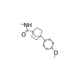 CNC(=O)C12CCC(c3ccc(OC)cc3)(CC1)C2